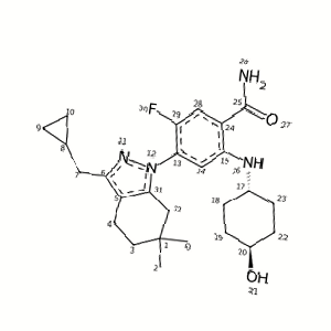 CC1(C)CCc2c(CC3CC3)nn(-c3cc(N[C@H]4CC[C@H](O)CC4)c(C(N)=O)cc3F)c2C1